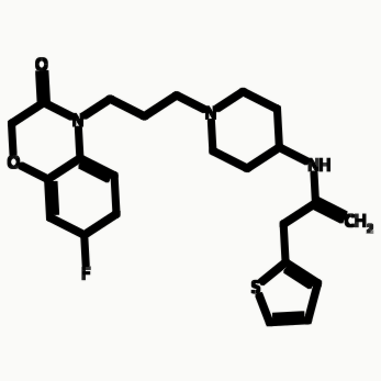 C=C(Cc1cccs1)NC1CCN(CCCN2C(=O)COC3=CC(F)CC=C32)CC1